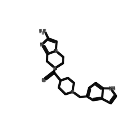 O=C(C1CCN(Cc2ccc3[nH]ccc3c2)CC1)N1CCn2cc(C(F)(F)F)nc2C1